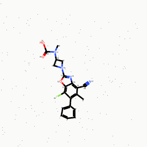 Cc1c(-c2ccccc2)c(F)c2oc(N3CC(N(C)C(=O)O)C3)nc2c1C#N